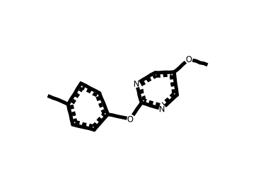 COc1cnc(Oc2ccc(C)cc2)nc1